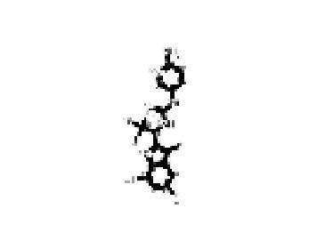 Cc1c(C(NC(=O)Nc2ccc(N)nc2)C(F)(F)F)oc2c(F)cc(F)cc12